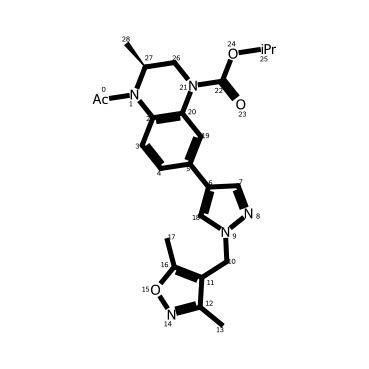 CC(=O)N1c2ccc(-c3cnn(Cc4c(C)noc4C)c3)cc2N(C(=O)OC(C)C)C[C@@H]1C